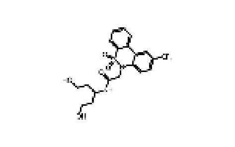 O=C(CN1c2ccc(C(F)(F)F)cc2-c2ccccc2S1(=O)=O)NC(CCO)CCO